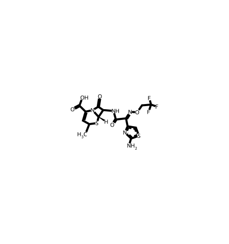 CC1C=C(C(=O)O)N2C(=O)C(NC(=O)C(=NOCC(F)(F)F)c3csc(N)n3)[C@@H]2S1